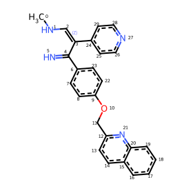 CN/C=C(\C(=N)c1ccc(OCc2ccc3ccccc3n2)cc1)c1ccncc1